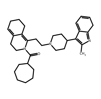 CC1=C(C2CCN(CCC3=C4CCCC=C4CCN3C(=O)C3CCCCCC3)CC2)C2=CC=CCC2=N1